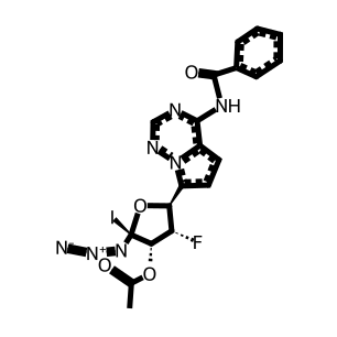 CC(=O)O[C@H]1[C@@H](F)[C@H](c2ccc3c(NC(=O)c4ccccc4)ncnn23)O[C@@]1(I)N=[N+]=[N-]